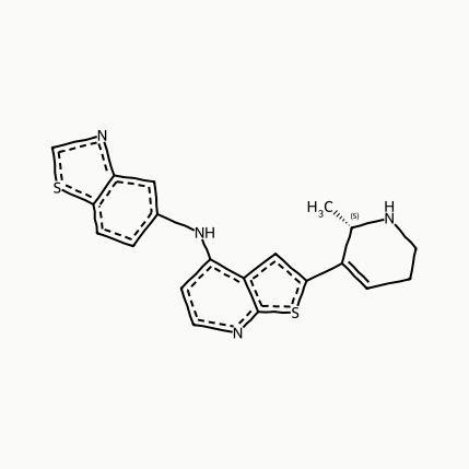 C[C@@H]1NCCC=C1c1cc2c(Nc3ccc4scnc4c3)ccnc2s1